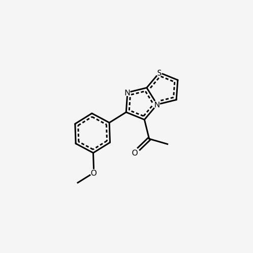 COc1cccc(-c2nc3sccn3c2C(C)=O)c1